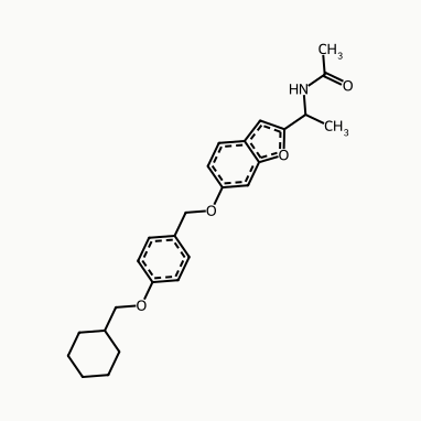 CC(=O)NC(C)c1cc2ccc(OCc3ccc(OCC4CCCCC4)cc3)cc2o1